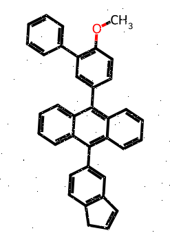 COc1ccc(-c2c3ccccc3c(-c3ccc4c(c3)C=CC4)c3ccccc23)cc1-c1ccccc1